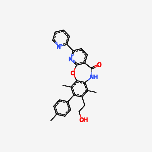 Cc1ccc(-c2c(C)c3c(c(C)c2CCO)NC(=O)c2ccc(-c4ccccn4)nc2O3)cc1